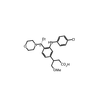 CC[C@H](c1ccc(C(COC)CC(=O)O)cc1Nc1ccc(Cl)cc1)N1CCOCC1